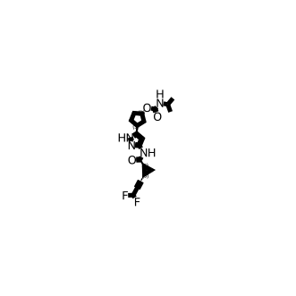 CC(C)NC(=O)O[C@@H]1CC[C@H](c2cc(NC(=O)[C@H]3C[C@@H]3C#CC(F)F)n[nH]2)C1